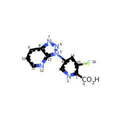 O=C(O)c1ncc(-n2nnc3cccnc32)cc1F